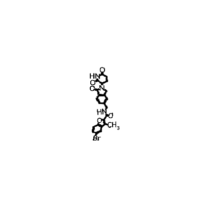 Cc1c(C(=O)NCc2ccc3c(c2)CN(C2CCC(=O)NC2=O)C3=O)oc2ccc(Br)cc12